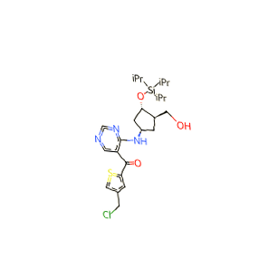 CC(C)[Si](O[C@H]1C[C@H](Nc2ncncc2C(=O)c2cc(CCl)cs2)C[C@@H]1CO)(C(C)C)C(C)C